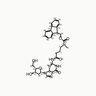 CN(CCCC(=O)NC1=NC2C(N=CN2[C@H]2C[C@@H](O)[C@@H](CO)O2)C(=O)N1)C(=O)OCC1c2ccccc2-c2ccccc21